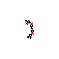 CC(C)(C)c1ccc(Oc2ccc(C(C)(C)c3ccc(Oc4ccc(C(C)(C)C)c(C(C)(C)C)c4)cc3)cc2)cc1C(C)(C)C